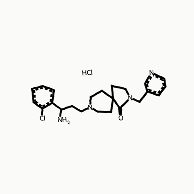 Cl.NC(CCN1CCC2(CC1)CCN(Cc1cccnc1)C2=O)c1ccccc1Cl